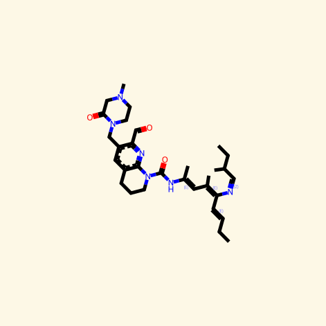 CC/C=C/C(/N=C\C(C)CC)=C(C)\C=C(/C)NC(=O)N1CCCc2cc(CN3CCN(C)CC3=O)c(C=O)nc21